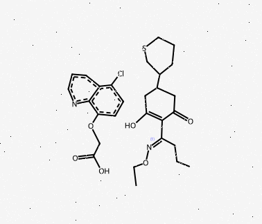 CCC/C(=N\OCC)C1=C(O)CC(C2CCCSC2)CC1=O.O=C(O)COc1ccc(Cl)c2cccnc12